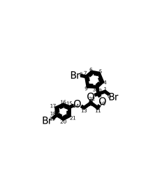 BrCC1(c2cccc(Br)c2)OCC(COc2ccc(Br)cc2)O1